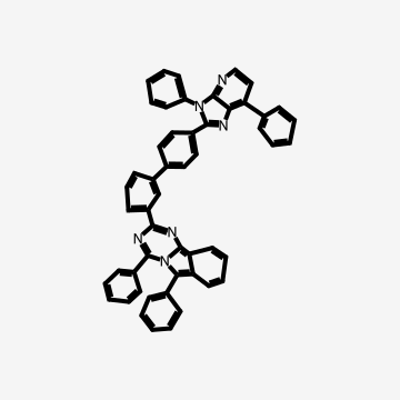 c1ccc(-c2ccnc3c2nc(-c2ccc(-c4cccc(-c5nc(-c6ccccc6)n6c(-c7ccccc7)c7ccccc7c6n5)c4)cc2)n3-c2ccccc2)cc1